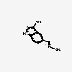 N/N=C/c1ccc2[nH]nc(N)c2c1